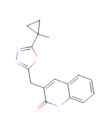 O=c1[nH]c2ccccc2cc1Cc1nnc(C2(C(F)(F)F)CC2)o1